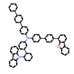 c1ccc(-c2ccc(-c3ccc(N(c4ccc(-c5ccc(-c6cccc7c6oc6ccccc67)cc5)cc4)c4cccc(-c5ccccc5-n5c6ccccc6c6ccccc65)c4)cc3)cc2)cc1